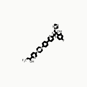 OC(CC(F)(F)F)c1ccc(N2CCN(c3ccc(-c4ccc(C(F)(F)C(O)(Cn5cncn5)c5ccc(F)cc5F)nc4)cc3)CC2)cn1